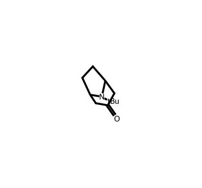 CC(C)(C)N1C2CCC1CC(=O)C2